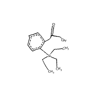 CC[Si](CC)(CC)c1ccccc1C(=O)O